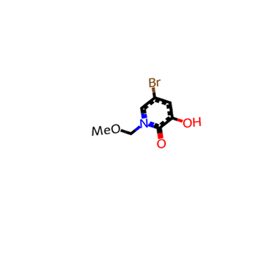 COCn1cc(Br)cc(O)c1=O